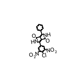 O=C1NC(c2cc([N+](=O)[O-])c(Cl)c([N+](=O)[O-])c2)=C2C(=O)NC(c3ccccc3)=C12